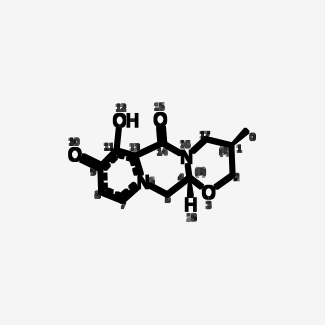 C[C@H]1CO[C@@H]2Cn3ccc(=O)c(O)c3C(=O)N2C1